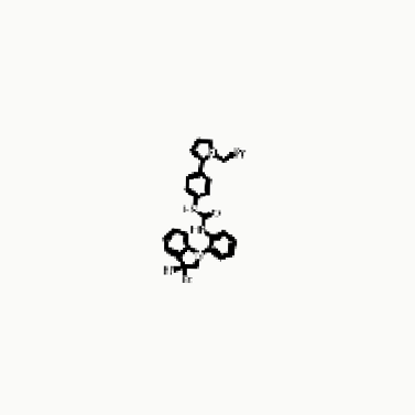 CCC1(CC)CN(c2ccccc2NC(=O)Nc2ccc(C3CCCN3CC(C)C)cc2)c2ccccc21